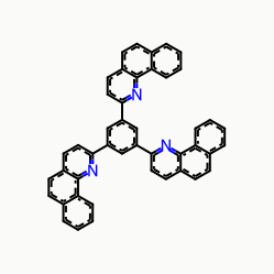 c1ccc2c(c1)ccc1ccc(-c3cc(-c4ccc5ccc6ccccc6c5n4)cc(-c4ccc5ccc6ccccc6c5n4)c3)nc12